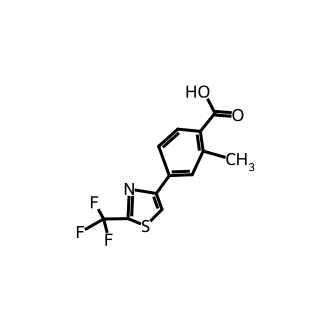 Cc1cc(-c2csc(C(F)(F)F)n2)ccc1C(=O)O